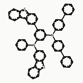 c1ccc(-c2ccc(N(c3ccc(-c4ccccc4)cc3)c3cc(-c4ccc5sc6ccccc6c5c4)cc(N(c4ccccc4)c4ccc5sc6ccccc6c5c4)c3)cc2)cc1